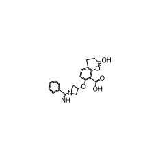 N=C(c1ccccc1)N1CC(Oc2ccc3c(c2C(=O)O)OB(O)CC3)C1